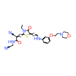 CCn1c(=C=C(C#N)C(=O)NCC#N)sc(=C=CNc2cccc(OCCN3CCOCC3)c2)c1=O